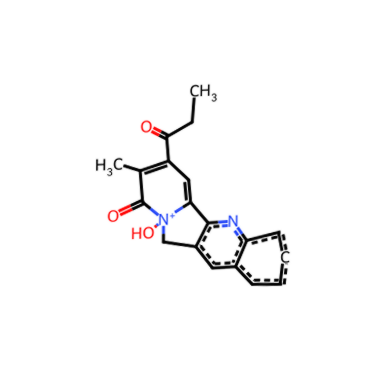 CCC(=O)C1=C(C)C(=O)[N+]2(O)Cc3cc4ccccc4nc3C2=C1